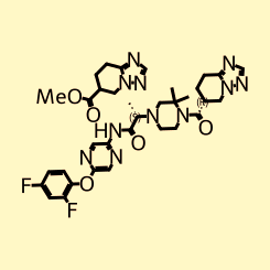 COC(=O)C1CCc2ncnn2C1.C[C@@H](C(=O)Nc1cnc(Oc2ccc(F)cc2F)cn1)N1CCN(C(=O)[C@@H]2CCc3ncnn3C2)C(C)(C)C1